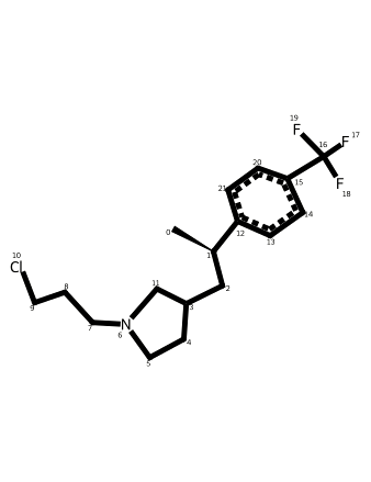 C[C@H](CC1CCN(CCCCl)C1)c1ccc(C(F)(F)F)cc1